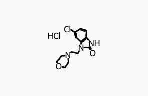 Cl.O=c1[nH]c2ccc(Cl)cc2n1CCN1CCOCC1